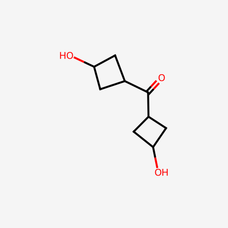 O=C(C1CC(O)C1)C1CC(O)C1